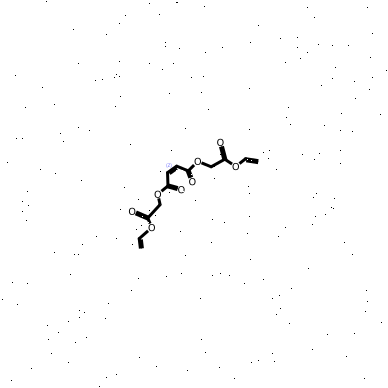 C=COC(=O)COC(=O)/C=C\C(=O)OCC(=O)OC=C